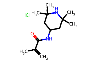 C=C(C)C(=O)NC1CC(C)(C)NC(C)(C)C1.Cl